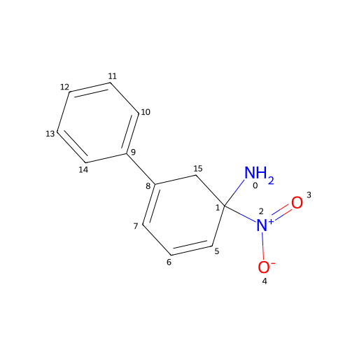 NC1([N+](=O)[O-])C=CC=C(c2ccccc2)C1